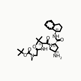 CN(CC(=O)N[C@H](C(=O)N1C[C@@H](N)C[C@H]1C(=O)N[C@@H]1CCCc2ccccc21)C(C)(C)C)C(=O)OC(C)(C)C